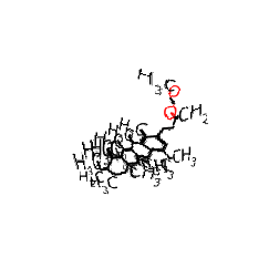 C=C(CCc1cc(C(C)C)c2c(c1C)C(=C)C1=C(C)[C@@]3(C)C(=C)C(C(=C)C)C(C)C[C@@]3(C)C[C@@]1(C)C2)OCCOC